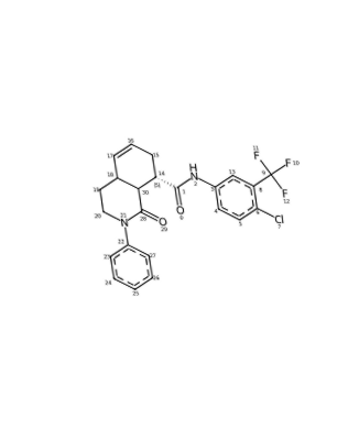 O=C(Nc1ccc(Cl)c(C(F)(F)F)c1)[C@H]1CC=CC2CCN(c3ccccc3)C(=O)C21